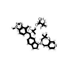 Cc1c([C@@H](c2ccc3c(c2)[C@@H](N2Cc4ccncc4OC(C)(C)C2)CC3)C(C)(C)C(=O)O)ccc2c1nnn2C.O=C(O)C(F)(F)F